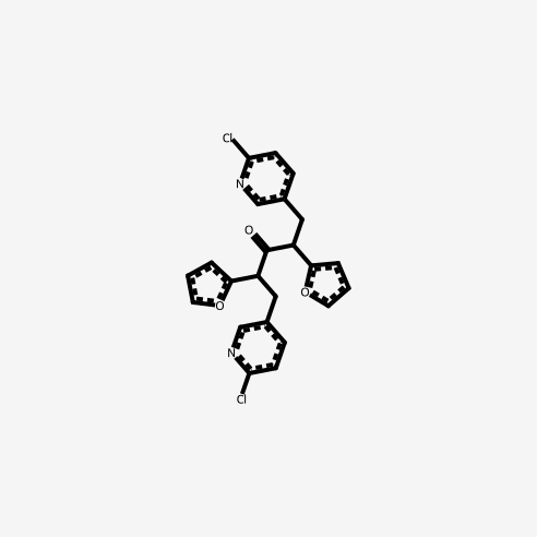 O=C(C(Cc1ccc(Cl)nc1)c1ccco1)C(Cc1ccc(Cl)nc1)c1ccco1